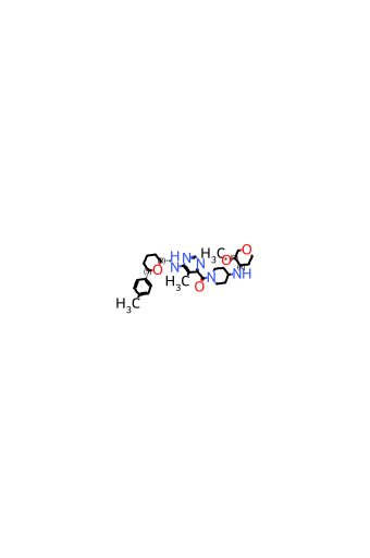 CO[C@H]1COCC[C@H]1NC1CCN(C(=O)c2ncnc(NC[C@H]3CCC[C@@H](c4ccc(C)cc4)O3)c2C)CC1